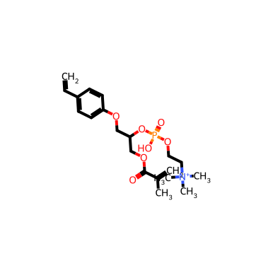 C=Cc1ccc(OCC(COC(=O)C(=C)C)OP(=O)(O)OCC[N+](C)(C)C)cc1